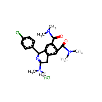 CN(C)C(=O)c1cc2c(cc1C(=O)N(C)C)C(c1ccc(Cl)cc1)N=C(N(C)C)C2.Cl